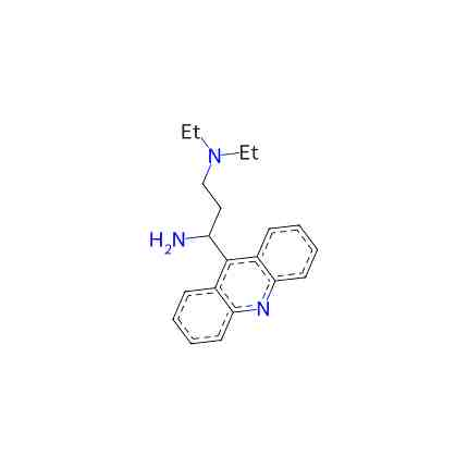 CCN(CC)CCC(N)c1c2ccccc2nc2ccccc12